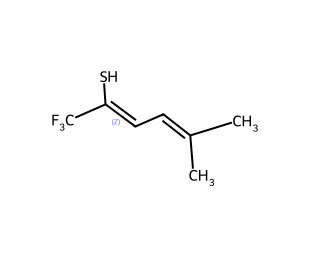 CC(C)=C/C=C(\S)C(F)(F)F